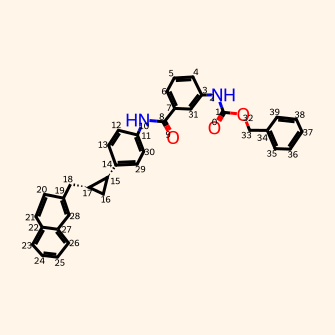 O=C(Nc1cccc(C(=O)Nc2ccc([C@@H]3C[C@@H]3Cc3ccc4ccccc4c3)cc2)c1)OCc1ccccc1